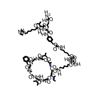 C/C=C(\C)[C@H]1OC(=O)[C@@H](C)NC(=O)[C@H](C(C)CC)NC(=O)CN(C)C(=O)[C@@H](Cc2ccccc2)N(C)C(=O)[C@H](C)NC(=O)[C@@H](CC(C)C)OC(=O)/C(C)=C/C[C@H](OC(=O)NCCCCCOP(=O)(O)OP(=O)(O)OCCCCCNC(=O)OCc2ccc(NC(=O)[C@@H](CCCNC(N)=O)NC(=O)[C@H](NC(=O)CCCCCn3ccnn3)C(C)C)cc2)[C@@H]1C